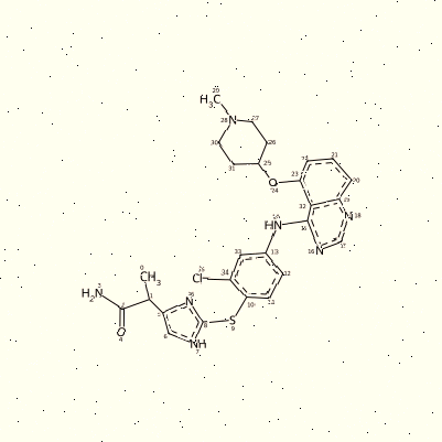 CC(C(N)=O)c1c[nH]c(Sc2ccc(Nc3ncnc4cccc(OC5CCN(C)CC5)c34)cc2Cl)n1